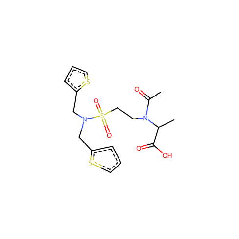 CC(=O)N(CCS(=O)(=O)N(Cc1cccs1)Cc1cccs1)C(C)C(=O)O